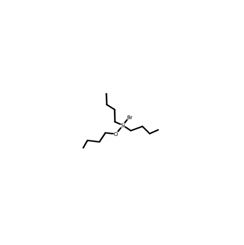 CCCCO[Si](Br)(CCCC)CCCC